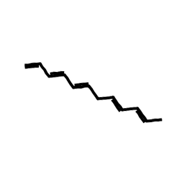 C=CC=CC=CCC=CC=CC